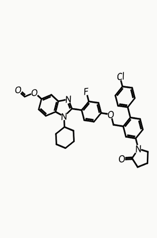 O=COc1ccc2c(c1)nc(-c1ccc(OCc3cc(N4CCCC4=O)ccc3-c3ccc(Cl)cc3)cc1F)n2C1CCCCC1